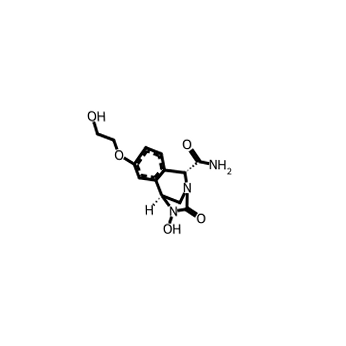 NC(=O)[C@H]1c2ccc(OCCO)cc2[C@H]2CN1C(=O)N2O